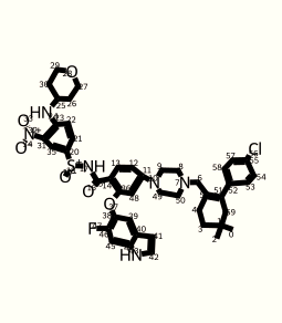 CC1(C)CCC(CN2CCN(c3ccc(C(=O)N[S+]([O-])c4ccc(NC5CCOCC5)c([N+](=O)[O-])c4)c(Oc4cc5cc[nH]c5cc4F)c3)CC2)=C(c2ccc(Cl)cc2)C1